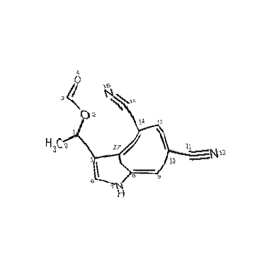 CC(OC=O)c1c[nH]c2cc(C#N)cc(C#N)c12